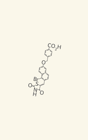 O=C1NC(=O)C(=Cc2ccc3cc(OCc4ccc(C(=O)O)cc4)ccc3c2Br)S1